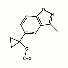 Cc1noc2ccc(C3(OC=O)CC3)cc12